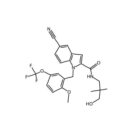 COc1ccc(OC(F)(F)F)cc1Cn1c(C(=O)NCC(C)(C)CO)cc2cc(C#N)ccc21